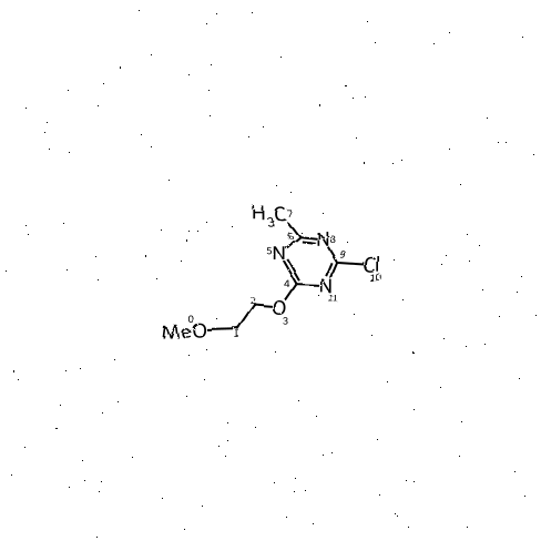 COCCOc1nc(C)nc(Cl)n1